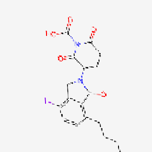 CCCCc1ccc(I)c2c1C(=O)N(C1CCC(=O)N(C(=O)O)C1=O)C2